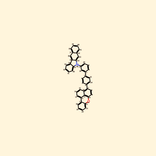 c1cc(-c2ccc(-c3ccc4c5c(cccc35)-c3ccccc3O4)cc2)cc(-n2c3ccccc3c3cc4ccccc4cc32)c1